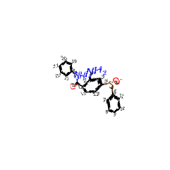 Nc1cc([S+]([O-])c2ccccc2)ccc1C(=O)Nc1ccccc1